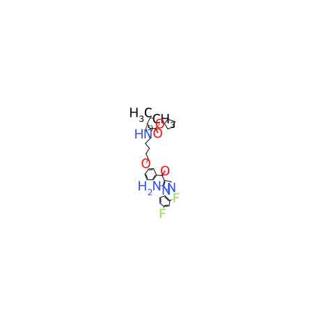 CC(C)C[C@H](NCCCCCOc1cccc(C(=O)c2cnn(-c3ccc(F)cc3F)c2N)c1)C(=O)OC1CCCC1